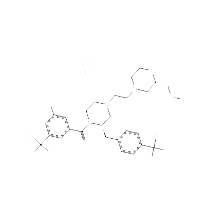 COC[C@@H]1CN(CCN2CCN(C(=O)c3cc(F)cc(C(F)(F)F)c3)[C@H](Cc3ccc(C(F)(F)F)cc3)C2)CCO1.Cl.Cl